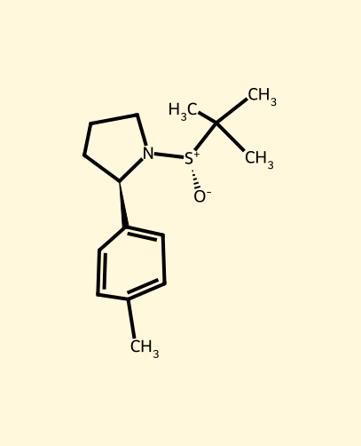 Cc1ccc([C@H]2CCCN2[S@@+]([O-])C(C)(C)C)cc1